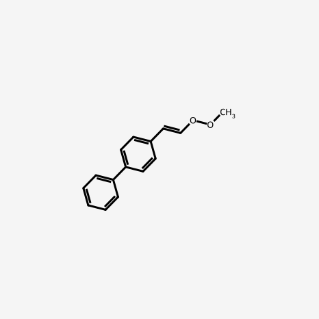 COO/C=C/c1ccc(-c2ccccc2)cc1